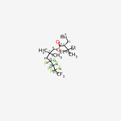 CCC(C)C[C@H](C(=O)OCC(C)(C)CC(F)(F)C(F)(F)C(F)(F)C(F)(F)F)C(C)(CC)CC